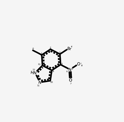 Cc1cc(Br)c([N+](=O)[O-])c2cn[nH]c12